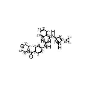 O=C(c1ccc(Nc2nc(Nc3cc(C4CC4)[nH]n3)c3ccccc3n2)cc1)N1CCOCC1